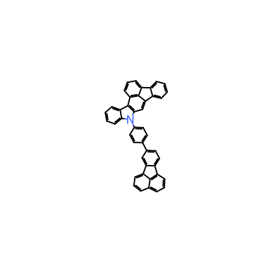 c1ccc2c(c1)-c1cccc3c1c-2cc1c3c2ccccc2n1-c1ccc(-c2ccc3c(c2)-c2cccc4cccc-3c24)cc1